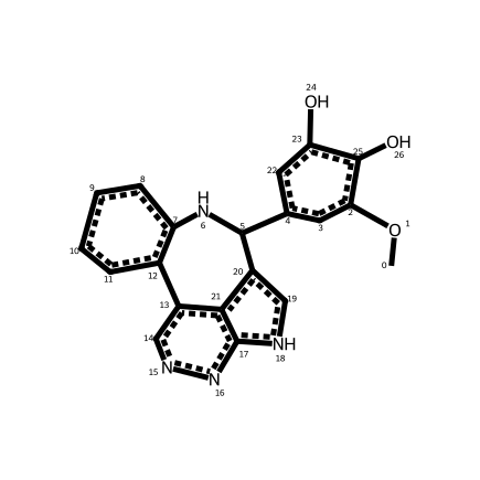 COc1cc(C2Nc3ccccc3-c3cnnc4[nH]cc2c34)cc(O)c1O